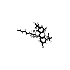 CCCCCCC[CH2][AlH][CH](c1cc(C)cc(C(C)(C)C)c1O)c1cc(C)cc(C(C)(C)C)c1O